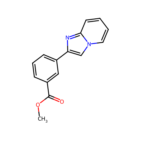 COC(=O)c1cccc(-c2cn3ccccc3n2)c1